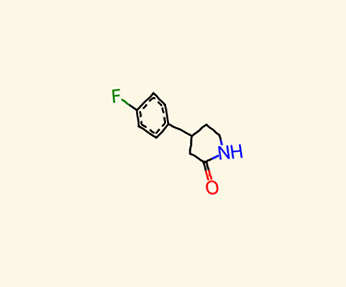 O=C1CC(c2ccc(F)cc2)CCN1